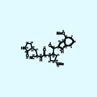 COc1cccc2[nH]c(C(=O)N3C[C@H](SC)C[C@H]3C(=O)NC(C#N)C[C@@H]3CCNC3=O)cc12